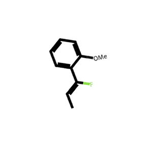 CC=C(F)c1ccccc1OC